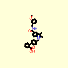 COc1cccc(CNC(=O)c2ccc3c(c2)c(C)c(C)n3Cc2ccc(-c3ccccc3C(=O)O)cc2)c1